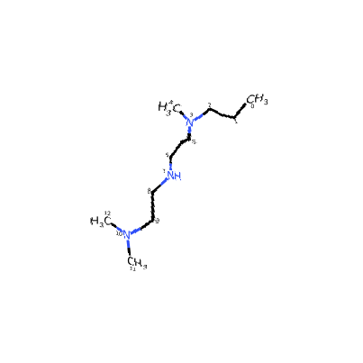 CCCN(C)CCNCCN(C)C